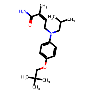 C[C](C)CN(CC=C(C)C(N)=O)c1ccc(OCC(C)(C)C)cc1